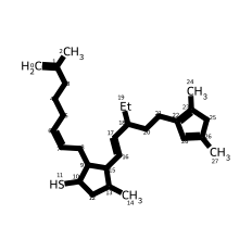 C=C(C)CCC/C=C\CC1C(S)CC(C)C1/C=C/C(CC)CCC1=C(C)CC(C)=C1